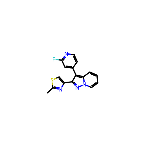 Cc1nc(-c2nn3ccccc3c2-c2ccnc(F)c2)cs1